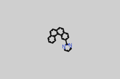 c1cnc(-c2ccc3ccc4ccc5ccccc5c4c3c2)nc1